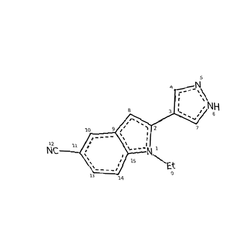 CCn1c(-c2cn[nH]c2)cc2cc(C#N)ccc21